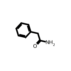 NC(=O)Cc1[c]cccc1